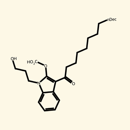 CCCCCCCCCCCCCCCCCC(=O)c1c(OC(=O)O)n(CCCO)c2ccccc12